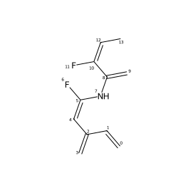 C=CC(=C)/C=C(/F)NC(=C)/C(F)=C\C